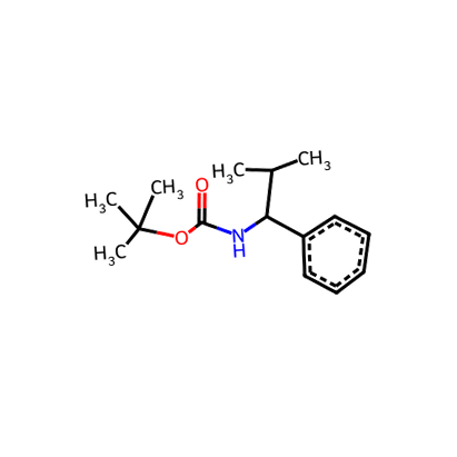 CC(C)C(NC(=O)OC(C)(C)C)c1ccccc1